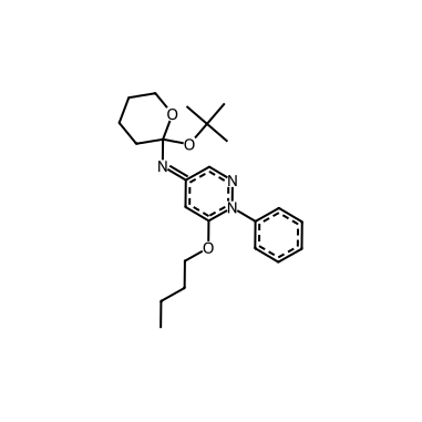 CCCCOc1c/c(=N/C2(OC(C)(C)C)CCCCO2)cnn1-c1ccccc1